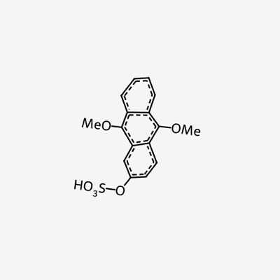 COc1c2ccccc2c(OC)c2cc(OS(=O)(=O)O)ccc12